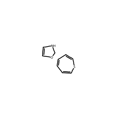 C1=CC=CSC=C1.C1=COCN1